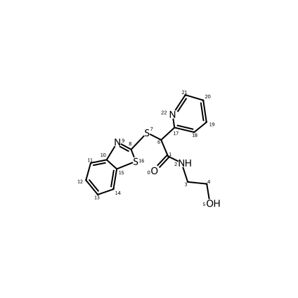 O=C(NCCO)C(Sc1nc2ccccc2s1)c1ccccn1